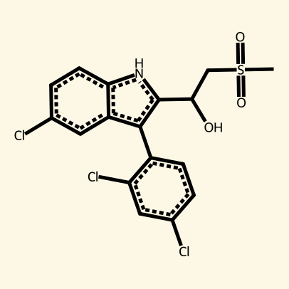 CS(=O)(=O)CC(O)c1[nH]c2ccc(Cl)cc2c1-c1ccc(Cl)cc1Cl